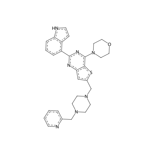 c1ccc(CN2CCN(Cc3cc4nc(-c5cccc6[nH]ccc56)nc(N5CCOCC5)c4s3)CC2)nc1